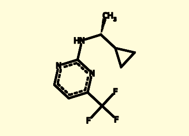 C[C@@H](Nc1nccc(C(F)(F)F)n1)C1CC1